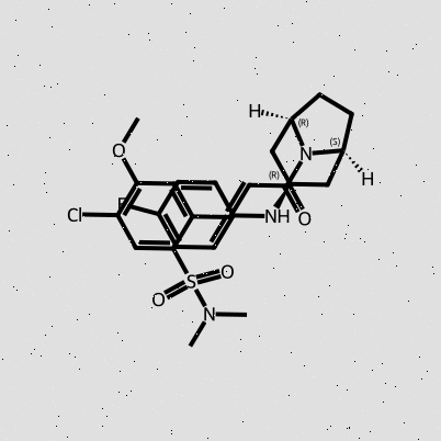 COc1cc(C=CC(=O)N2[C@@H]3CC[C@H]2C[C@@H](Nc2ccc(F)cc2)C3)c(S(=O)(=O)N(C)C)cc1Cl